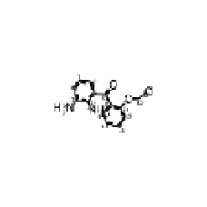 Nc1cccc(C(=O)c2ccccc2OCCl)c1N